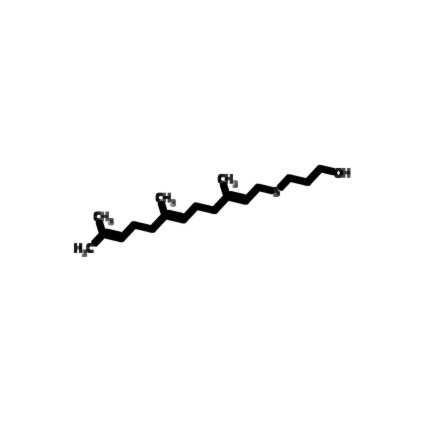 CC(C)=CCC/C(C)=C/CC/C(C)=C/CSCCCO